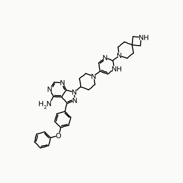 Nc1ncnc2c1c(-c1ccc(Oc3ccccc3)cc1)nn2C1CCN(C2=CNC(N3CCC4(CC3)CNC4)N=C2)CC1